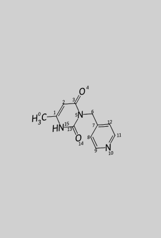 Cc1cc(=O)n(Cc2ccncc2)c(=O)[nH]1